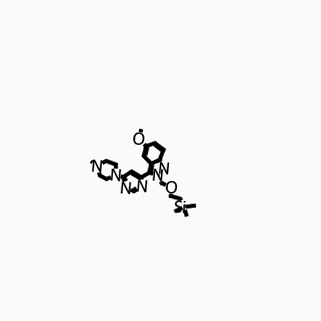 COc1ccc2nn(COCC[Si](C)(C)C)c(-c3cc(N4CCN(C)CC4)ncn3)c2c1